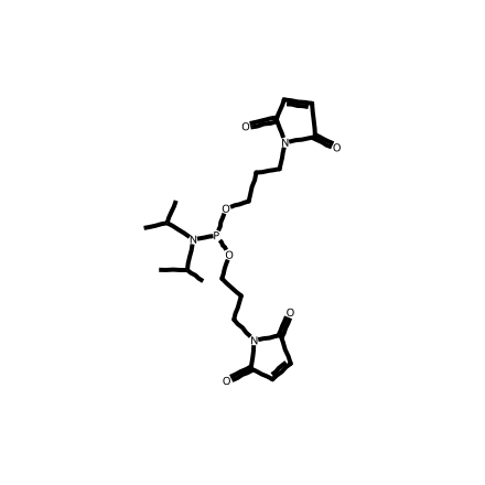 CC(C)N(C(C)C)P(OCCCN1C(=O)C=CC1=O)OCCCN1C(=O)C=CC1=O